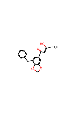 O=C(O)C(O)=CC(=O)c1cc(Cc2ccccc2)c2c(c1)OCO2